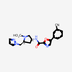 N#Cc1cccc(-c2cnc(C(=O)N[C@@H]3C[C@@H](Cn4cccn4)N(C(=O)O)C3)o2)c1